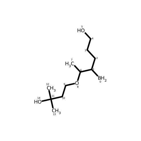 BC(CCCO)C(C)OCCC(C)(C)O